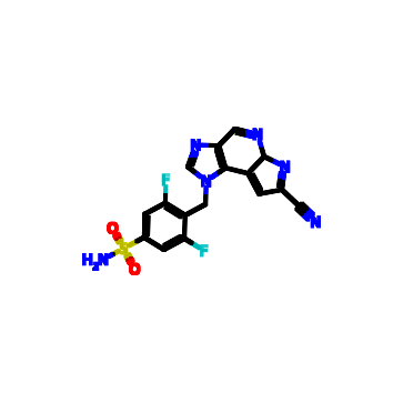 N#CC1=NC2N=Cc3ncn(Cc4c(F)cc(S(N)(=O)=O)cc4F)c3C2=C1